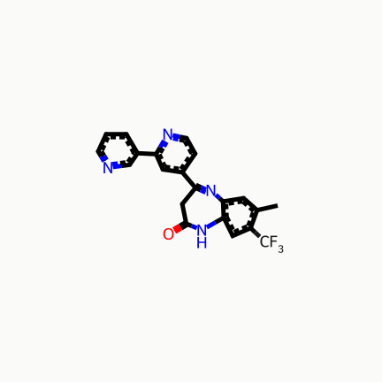 Cc1cc2c(cc1C(F)(F)F)NC(=O)CC(c1ccnc(-c3cccnc3)c1)=N2